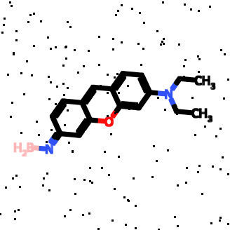 BN=c1ccc2cc3ccc(N(CC)CC)cc3oc-2c1